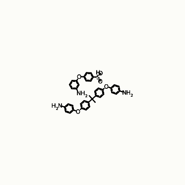 CC(C)(c1ccc(Oc2ccc(N)cc2)cc1)c1ccc(Oc2ccc(N)cc2)cc1.Nc1cccc(Oc2ccc([SH](=O)=O)cc2)c1